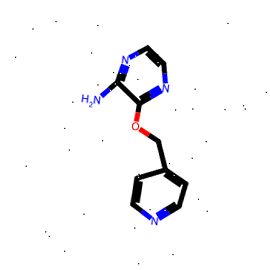 Nc1nccnc1OCc1ccncc1